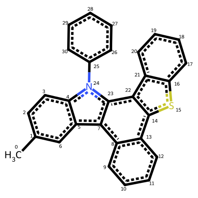 Cc1ccc2c(c1)c1c3ccccc3c3sc4ccccc4c3c1n2-c1ccccc1